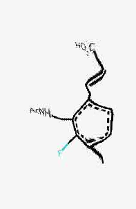 CC(=O)Nc1c(C=CC(=O)O)ccc(C)c1F